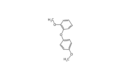 COc1ccc(Oc2ccc[c]c2OC)cc1